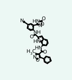 Cc1noc(-c2ccccc2)c1C(=O)Nc1cccc2cc(C(=O)Nc3ccc(C#N)cc3-c3noc(=O)[nH]3)[nH]c12